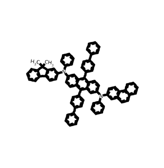 CC1(C)c2ccccc2-c2ccc(N(c3ccccc3)c3ccc4c(-c5ccc(-c6ccccc6)cc5)c5cc(N(c6ccccc6)c6ccc7c(ccc8ccccc87)c6)ccc5c(-c5ccc(-c6ccccc6)cc5)c4c3)cc21